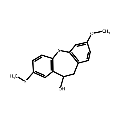 COc1ccc2c(c1)Sc1ccc(SC)cc1C(O)C2